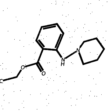 CCOC(=O)c1ccccc1NN1CCCCC1